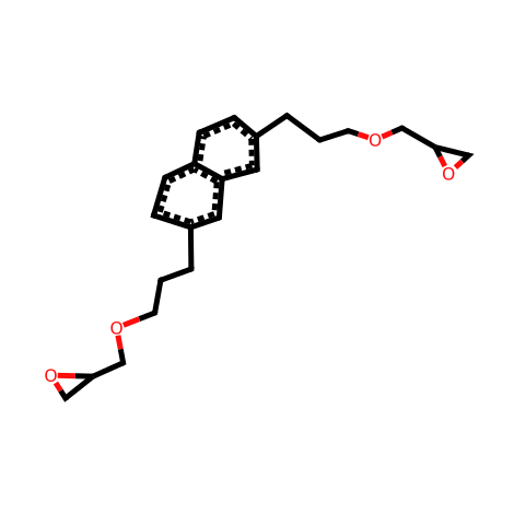 c1cc2ccc(CCCOCC3CO3)cc2cc1CCCOCC1CO1